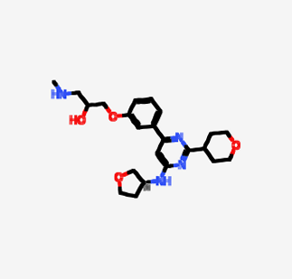 CNCC(O)COc1cccc(-c2cc(N[C@H]3CCOC3)nc(C3CCOCC3)n2)c1